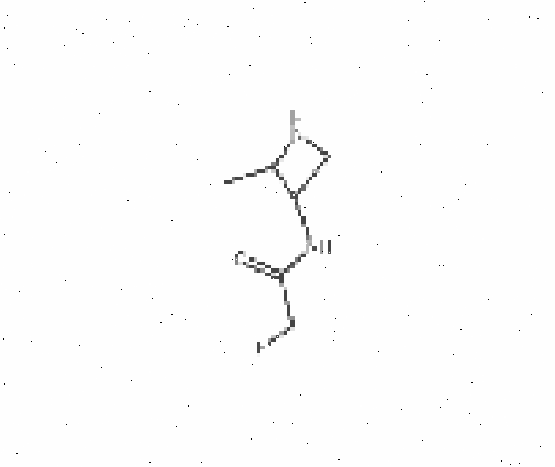 CC1NCC1NC(=O)CF